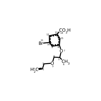 C=CCOCC(C)Oc1cc(Br)cc(C(=O)O)c1